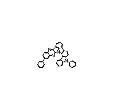 c1ccc(-c2ccc3nc4c5cccc6c7ccc8c(c9ccccc9n8-c8ccccc8)c7n(c4nc3c2)c65)cc1